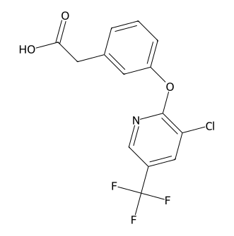 O=C(O)Cc1cccc(Oc2ncc(C(F)(F)F)cc2Cl)c1